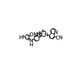 CO[C@H]1CNC[C@H]1NC1=CCC2=C3CN(c4ccc(C#N)c5ncccc45)C[C@@H](C)N3CC2=C1